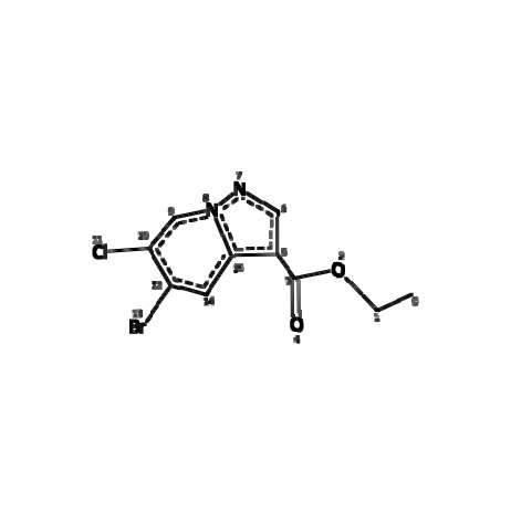 CCOC(=O)c1cnn2cc(Cl)c(Br)cc12